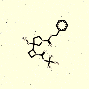 COC1(C2CCN2C(=O)OC(C)(C)C)CCN(C(=O)OCc2ccccc2)C1